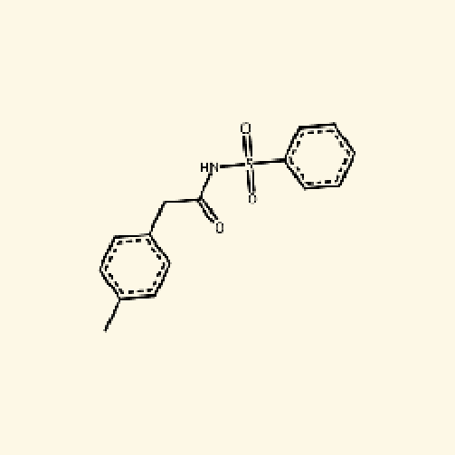 Cc1ccc(CC(=O)NS(=O)(=O)c2ccccc2)cc1